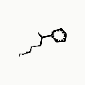 CC(CCCF)c1ccccc1